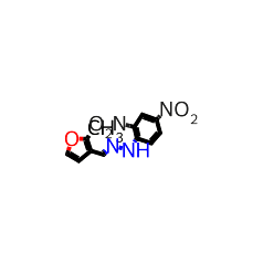 Cc1occc1C=NNc1ccc([N+](=O)[O-])cc1[N+](=O)[O-]